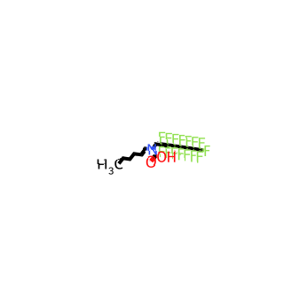 CCCCCCN(CC(F)(F)C(F)(F)C(F)(F)C(F)(F)C(F)(F)C(F)(F)C(F)(F)F)C(=O)O